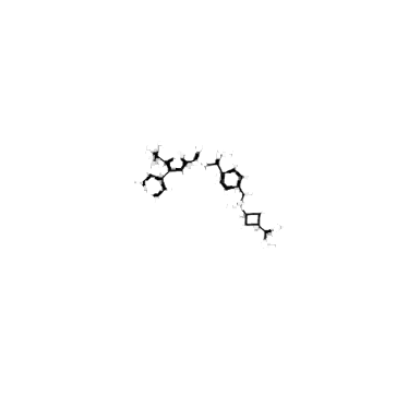 N=C(NC(=O)c1cc(-c2ccccc2)c(C(F)(F)F)s1)c1ccc(CNC2CC(C(=O)O)C2)cc1